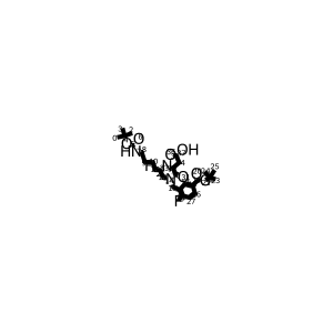 CC(C)(C)OC(=O)NCCCCCCN(Cc1cc(C(=O)OC(C)(C)C)ccc1F)C(=O)[C@@H](N)CC(=O)O